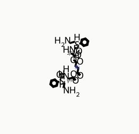 C[C@H](N[PH](=O)[SH](CCN)c1ccccc1)C(=O)OC(=O)/C=C/C(=O)OC(=O)[C@H](C)N[PH](=O)[SH](CCN)c1ccccc1